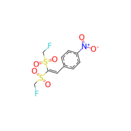 O=[N+]([O-])c1ccc(C=C(S(=O)(=O)CF)S(=O)(=O)CF)cc1